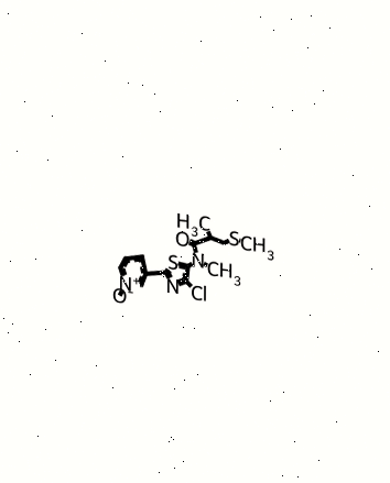 CSCC(C)C(=O)N(C)c1sc(-c2ccc[n+]([O-])c2)nc1Cl